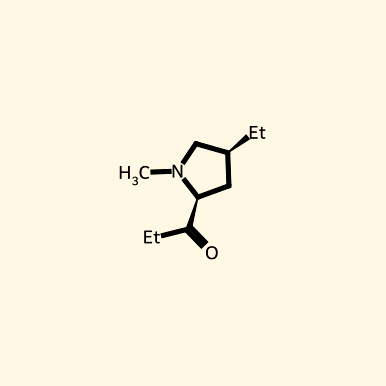 CCC(=O)[C@@H]1C[C@H](CC)CN1C